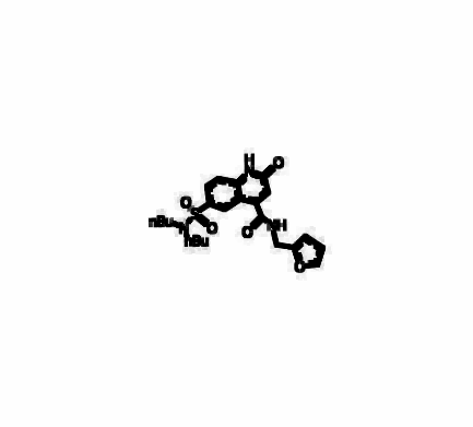 CCCCN(CCCC)S(=O)(=O)c1ccc2[nH]c(=O)cc(C(=O)NCc3ccco3)c2c1